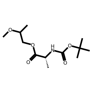 COC(C)COC(=O)[C@@H](C)NC(=O)OC(C)(C)C